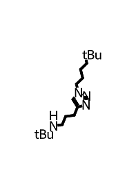 CC(C)(C)CCCCn1cc(CCCNC(C)(C)C)nn1